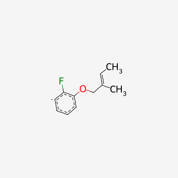 CC=C(C)COc1ccc[c]c1F